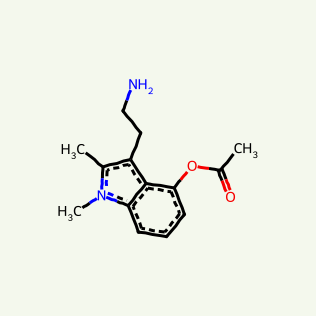 CC(=O)Oc1cccc2c1c(CCN)c(C)n2C